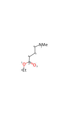 CCOC(=O)CCCNC